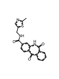 Cc1ncc(CNC(=O)c2ccc3c(=O)c4ccccc4c(=O)[nH]c3c2)s1